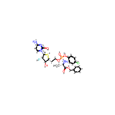 C[C@H](NP(=O)(OCC[C@H]1S[C@@H](n2ccc(N)nc2=O)[C@@H](F)[C@@H]1O)Oc1ccc(Cl)cc1)C(=O)OCc1ccccc1